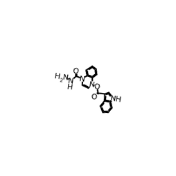 NNC(=O)N1C=CN(OC(=O)c2c[nH]c3ccccc23)c2ccccc21